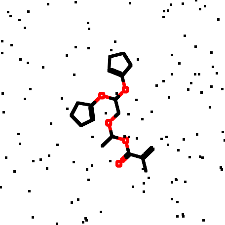 C=C(C)C(=O)OC(C)OCC(OC1=CCCC1)OC1=CCCC1